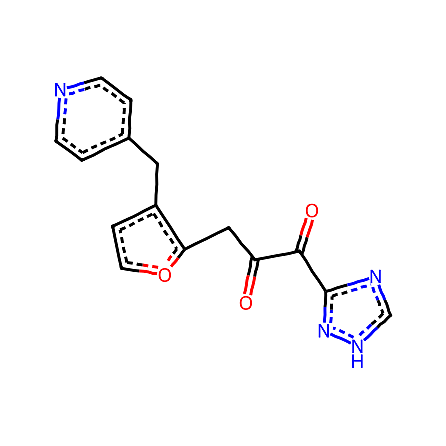 O=C(Cc1occc1Cc1ccncc1)C(=O)c1nc[nH]n1